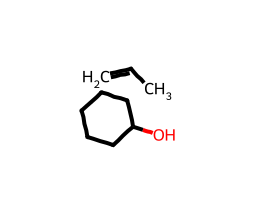 C=CC.OC1CCCCC1